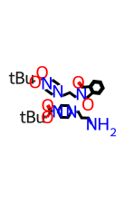 CC(C)(C)OC(=O)N1CCN(CCCN)CC1.CC(C)(C)OC(=O)N1CCN(CCCN2C(=O)c3ccccc3C2=O)CC1